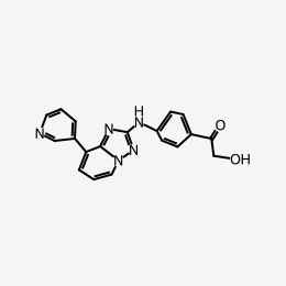 O=C(CO)c1ccc(Nc2nc3c(-c4cccnc4)cccn3n2)cc1